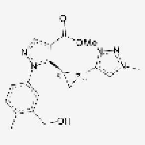 COC(=O)c1cnn(-c2ccc(C)c(CO)c2)c1[C@@H]1C[C@H]1c1cn(C)nn1